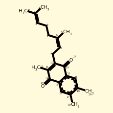 CC(C)=CCCC(C)=CCC1=C(C)C(=O)c2cc(C)c(C)cc2C1=O